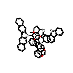 CC1C/C=C(c2cc(-n3c4cc5ccccc5cc4c4cc5ccccc5cc43)c3oc4c5ccccc5ccc4c3c2)/N=C(c2cccc3c2sc2ccccc23)\N=C/1c1cccc2c3ccccc3n(-c3ccccc3)c12